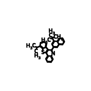 CC(C)c1cccc2c1sc1c3ccccc3nc(-c3cc(C(C)(C)C)c4ccccc4c3)c21